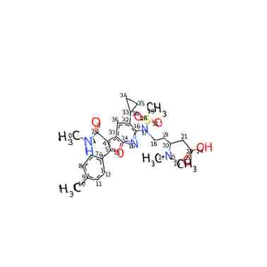 CNC(=O)c1c(-c2ccc(C)cc2)oc2nc(N(CCC(CC(=O)O)N(C)C)S(C)(=O)=O)c(C3CC3)cc12